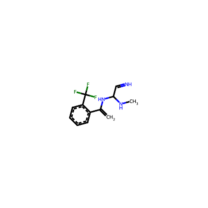 C=C(NC(C=N)NC)c1ccccc1C(F)(F)F